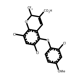 COc1ccc(Oc2c(Cl)cc(Cl)c3c2C=C(C(=O)O)C(C(F)(F)F)O3)c(Cl)c1